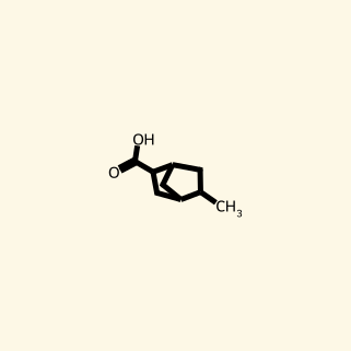 CC1CC2CC1CC2C(=O)O